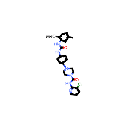 COc1ccc(C)cc1NC(=O)Nc1ccc(N2CCN(C(=O)Nc3ncccc3Cl)CC2)cc1